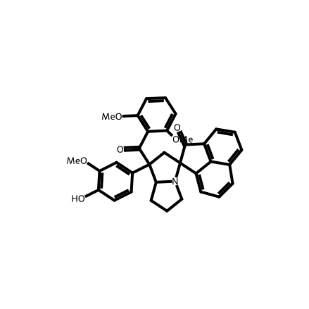 COc1cc(C2(C(=O)c3c(OC)cccc3OC)CC3(C(=O)c4cccc5cccc3c45)N3CCCC32)ccc1O